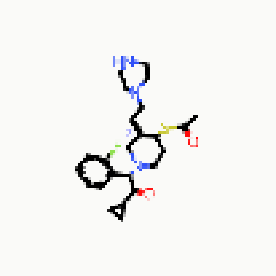 CC(=O)SC1CCN(C(C(=O)C2CC2)c2ccccc2F)C/C1=C/CN1CCNCC1